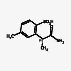 Cc1ccc(S(=O)(=O)O)c([C@@H](C)C(N)=O)c1